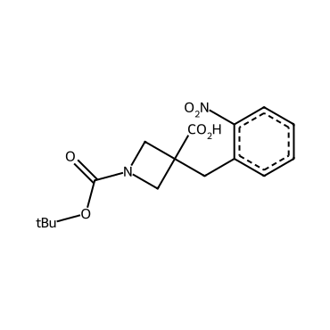 CC(C)(C)OC(=O)N1CC(Cc2ccccc2[N+](=O)[O-])(C(=O)O)C1